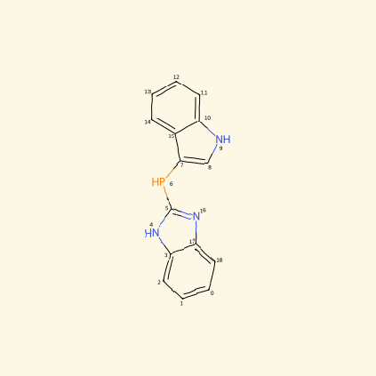 c1ccc2[nH]c(Pc3c[nH]c4ccccc34)nc2c1